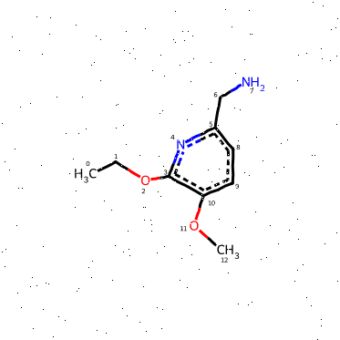 CCOc1nc(CN)ccc1OC